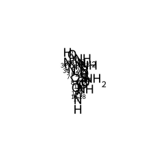 NC(=O)[C@H]1CN(c2ccc(S(=O)(=O)N[C@@H]3CCNC3)c(S(N)(=O)=O)c2-c2nn[nH]n2)CCN1